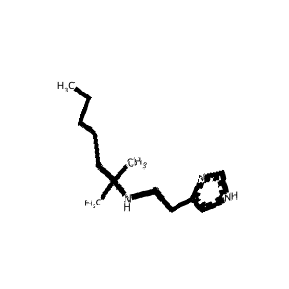 CCCCCC(C)(C)NCCc1c[nH]cn1